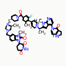 Cc1cc(C(=O)N2CCC(CN3CCN(Cc4ccc5c(c4)n(C)c(=O)n5C4CCC(=O)NC4=O)C[C@@H]3C)CC2)cc(F)c1C1=CCN([C@@H](C)c2cc3c(-n4ccc5c(c4=O)CCN5)ccnc3n2C)CC1